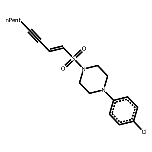 CCCCCC#C/C=C/S(=O)(=O)N1CCN(c2ccc(Cl)cc2)CC1